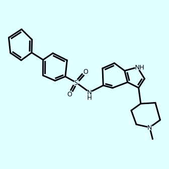 CN1CCC(c2c[nH]c3ccc(NS(=O)(=O)c4ccc(-c5ccccc5)cc4)cc23)CC1